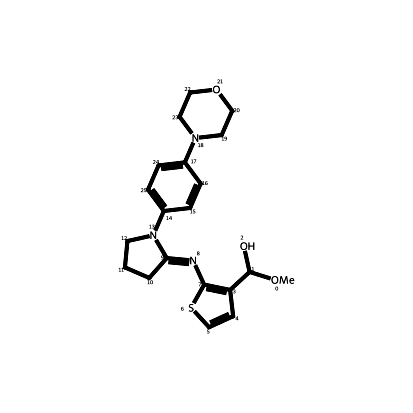 COC(O)c1ccsc1/N=C1\CCCN1c1ccc(N2CCOCC2)cc1